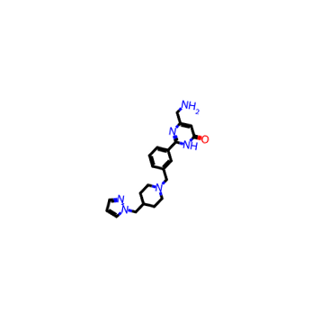 NCc1cc(=O)[nH]c(-c2cccc(CN3CCC(Cn4cccn4)CC3)c2)n1